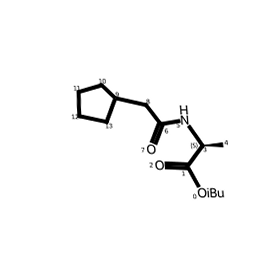 CC(C)COC(=O)[C@H](C)NC(=O)CC1CCCC1